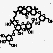 CC(CCC(O[C@@H]1O[C@H](CO[C@H]2C[C@@H](O)[C@H](O)[C@@H](CO)O2)[C@@H](O)[C@H](O)[C@H]1O[C@H]1C[C@@H](O)C[C@@H](CO)O1)C(C)(C)O)C1CCC2(C)C3CC=C4C(CCC(O[C@H]5C[C@@H](O)C[C@@H](CO)O5)C4(C)C)C3(C)C(=O)CC12C